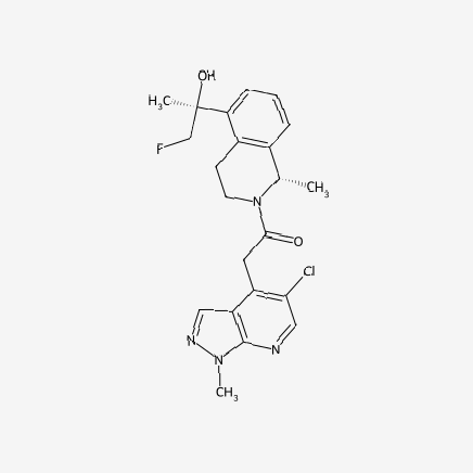 C[C@H]1c2cccc([C@](C)(O)CF)c2CCN1C(=O)Cc1c(Cl)cnc2c1cnn2C